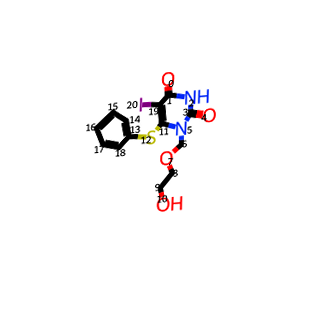 O=c1[nH]c(=O)n(COCCO)c(Sc2ccccc2)c1I